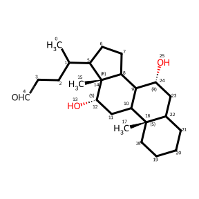 CC(CCC=O)C1CCC2C3C(C[C@H](O)[C@]12C)[C@@]1(C)CCCCC1C[C@H]3O